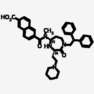 CN(C(=O)c1ccc2cc(C(=O)O)ccc2c1)[C@H]1CCN(CC(c2ccccc2)c2ccccc2)C(=O)[C@H](CCN2CCCCC2)N1